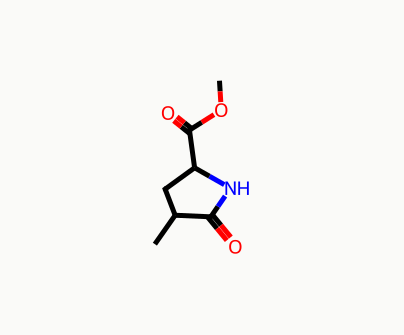 COC(=O)C1CC(C)C(=O)N1